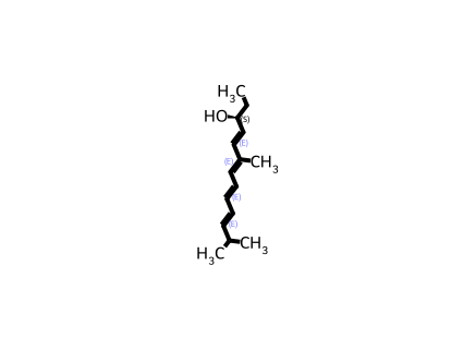 CC[C@H](O)/C=C/C(C)=C/C=C/C=C/C(C)C